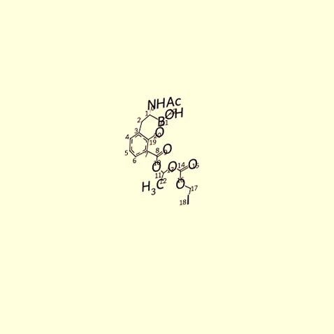 CC(=O)N[C@H]1Cc2cccc(C(=O)OC(C)OC(=O)OCI)c2OB1O